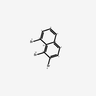 Brc1ccc2[c]ccc(Br)c2c1Br